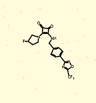 O=c1c(NCc2ccc(-c3noc(C(F)(F)F)n3)cc2)c(N2CCC(F)C2)c1=O